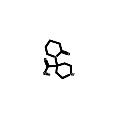 CNC(=O)C1(N2CCCCC2=O)CCNCC1